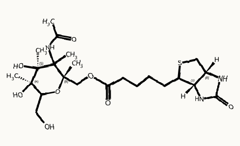 CC(=O)NC1(C)[C@](C)(O)[C@](C)(O)C(CO)O[C@@]1(C)COC(=O)CCCCC1SC[C@@H]2NC(=O)N[C@H]12